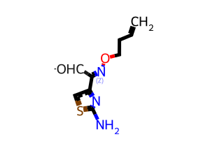 C=CCCO/N=C(\[C]=O)c1csc(N)n1